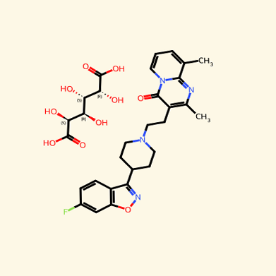 Cc1nc2c(C)cccn2c(=O)c1CCN1CCC(c2noc3cc(F)ccc23)CC1.O=C(O)[C@@H](O)[C@H](O)[C@H](O)[C@@H](O)C(=O)O